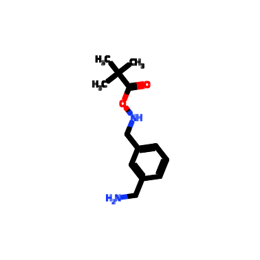 CC(C)(C)C(=O)ONCc1cccc(CN)c1